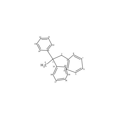 CC(Cc1ccccc1)(c1ccccc1)c1ccccc1